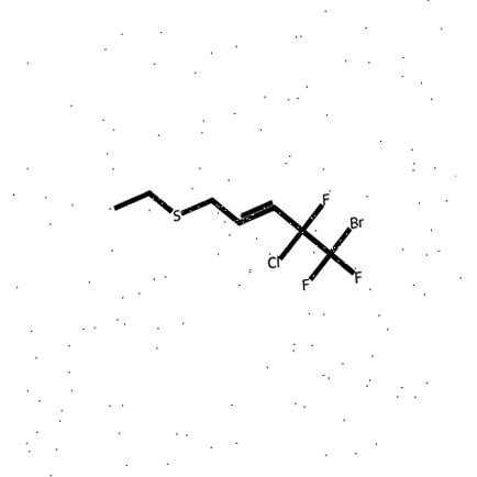 [CH2]CSCC=CC(F)(Cl)C(F)(F)Br